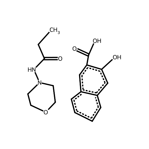 CCC(=O)NN1CCOCC1.O=C(O)c1cc2ccccc2cc1O